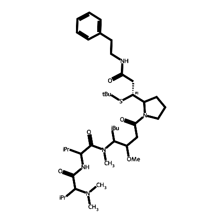 CCC(C)C(C(CC(=O)N1CCCC1[C@@H](CC(=O)NCCc1ccccc1)SC(C)(C)C)OC)N(C)C(=O)C(NC(=O)C(C(C)C)N(C)C)C(C)C